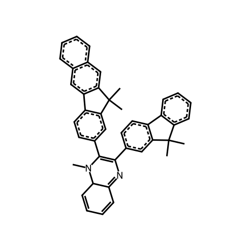 CN1C(c2ccc3c(c2)C(C)(C)c2cc4ccccc4cc2-3)=C(c2ccc3c(c2)C(C)(C)c2ccccc2-3)N=C2C=CC=CC21